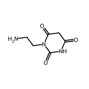 NCCN1C(=O)CC(=O)NC1=O